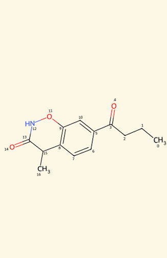 CCCC(=O)c1ccc2c(c1)ONC(=O)C2C